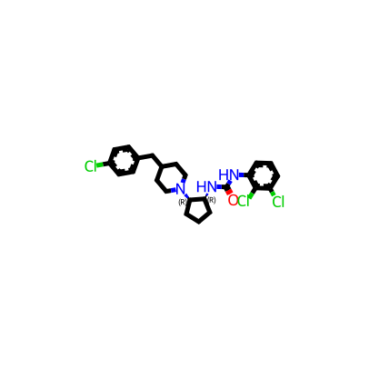 O=C(Nc1cccc(Cl)c1Cl)N[C@@H]1CCC[C@H]1N1CCC(Cc2ccc(Cl)cc2)CC1